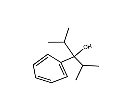 C[C](C)C(O)(c1ccccc1)C(C)C